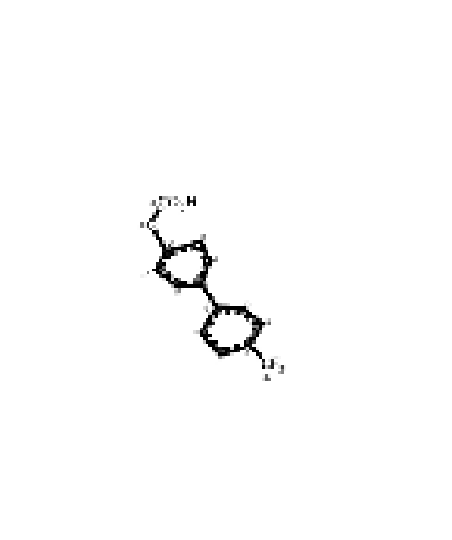 O=C(O)Oc1ccc(-c2ccc(C(F)(F)F)cc2)cc1